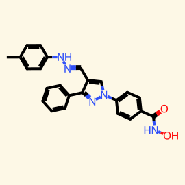 Cc1ccc(N/N=C/c2cn(-c3ccc(C(=O)NO)cc3)nc2-c2ccccc2)cc1